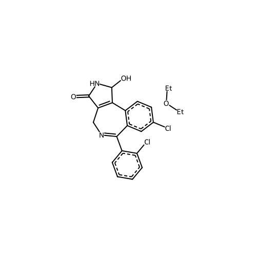 CCOCC.O=C1NC(O)C2=C1CN=C(c1ccccc1Cl)c1cc(Cl)ccc12